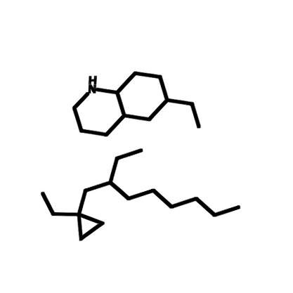 CCC1CCC2NCCCC2C1.CCCCCCC(CC)CC1(CC)CC1